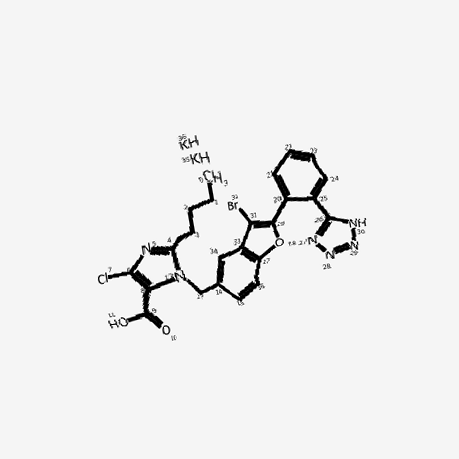 CCCCc1nc(Cl)c(C(=O)O)n1Cc1ccc2oc(-c3ccccc3-c3nnn[nH]3)c(Br)c2c1.[KH].[KH]